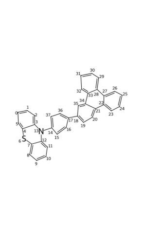 c1ccc2c(c1)Sc1ccccc1N2c1ccc(-c2ccc3c4ccccc4c4ccccc4c3c2)cc1